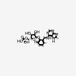 O=P(O)(O)OC[C@H]1OC(Oc2c(F)cccc2CNc2ncnc3nc[nH]c23)[C@H](O)[C@@H]1O